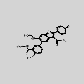 CCCCCCCNC(=O)c1cc(-c2cc3c(C(=O)NC)c(-c4ccc(F)cc4)oc3cc2NCC(F)(F)F)ccc1OC